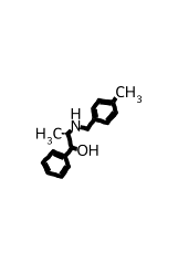 Cc1ccc(CN[C@@H](C)C(O)c2ccccc2)cc1